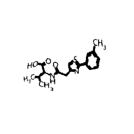 Cc1cccc(-c2nc(CC(=O)N[C@H](C(=O)O)C(C)C)cs2)c1